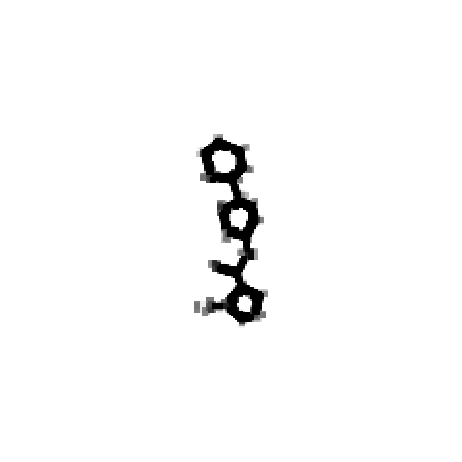 Cn1cncc1C(=O)Nc1ccc(-c2ccccn2)nn1